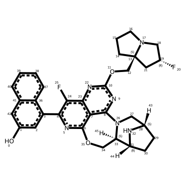 Oc1cc(-c2nc3c4c(nc(OC[C@@]56CCCN5C[C@H](F)C6)nc4c2F)N2C[C@@H]4CC[C@@H](N4)[C@H]2CO3)c2ccccc2c1